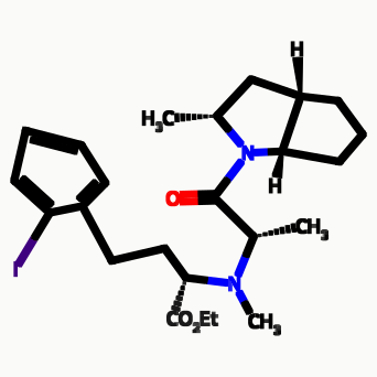 CCOC(=O)[C@H](CCc1ccccc1I)N(C)[C@@H](C)C(=O)N1[C@H](C)C[C@@H]2CCC[C@@H]21